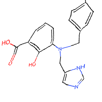 Cc1ccc(CN(Cc2cnc[nH]2)c2cccc(C(=O)O)c2O)cc1